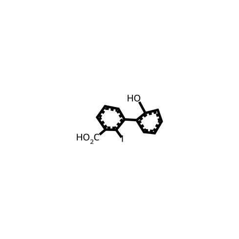 O=C(O)c1cccc(-c2ccccc2O)c1I